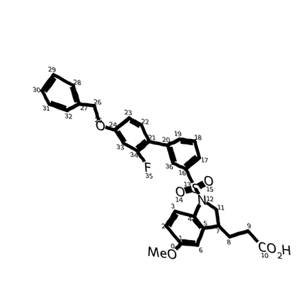 COc1ccc2c(c1)C(CCC(=O)O)CN2S(=O)(=O)c1cccc(-c2ccc(OCc3ccccc3)cc2F)c1